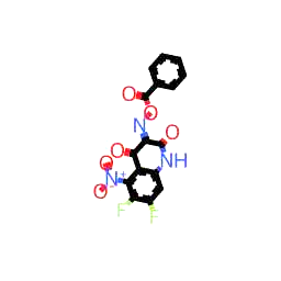 O=C1Nc2cc(F)c(F)c([N+](=O)[O-])c2C(=O)C1=NOC(=O)c1ccccc1